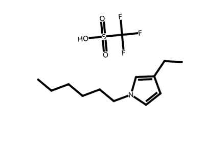 CCCCCCn1ccc(CC)c1.O=S(=O)(O)C(F)(F)F